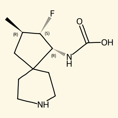 C[C@@H]1CC2(CCNCC2)[C@@H](NC(=O)O)[C@H]1F